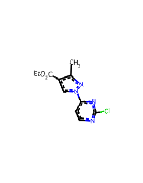 CCOC(=O)c1cn(-c2ccnc(Cl)n2)nc1C